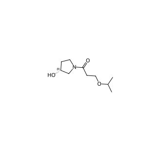 CC(C)OCCC(=O)N1CC[C@@H](O)C1